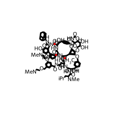 CNCCOCc1cc(OCCNC)cc(C(=O)NC(=O)C[C@@H]2NC(=O)[C@H](NC(=O)[C@@H](CC(C)C)NC)[C@H](O)c3ccc(c(C)c3)Oc3cc4cc(c3O[C@@H]3O[C@@H]5CNC(=O)O[C@H]5[C@H](O)[C@H]3O)Oc3ccc(cc3Cl)[C@@H](O)[C@@H]3NC(=O)[C@H](NC(=O)[C@@H]4NC2=O)c2ccc(O)c(c2)-c2c(O)cc(O)cc2[C@@H](C(=O)NC2C4CC5CC(C4)CC2C5)NC3=O)c1